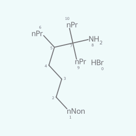 Br.CCCCCCCCCCCCC(CCC)C(N)(CCC)CCC